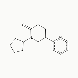 O=C1CCC(c2ccccn2)CN1C1CCCC1